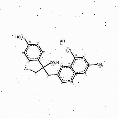 CC(=O)CC(Cc1cnc2nc(N)nc(N)c2n1)(C(=O)O)c1ccc(C(=O)O)cc1.[KH]